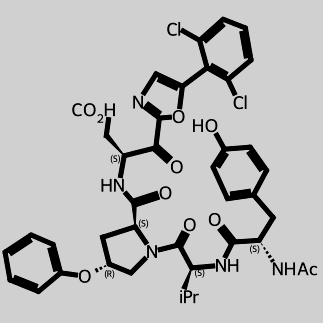 CC(=O)N[C@@H](Cc1ccc(O)cc1)C(=O)N[C@H](C(=O)N1C[C@H](Oc2ccccc2)C[C@H]1C(=O)N[C@@H](CC(=O)O)C(=O)c1ncc(-c2c(Cl)cccc2Cl)o1)C(C)C